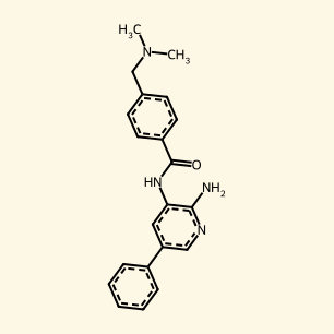 CN(C)Cc1ccc(C(=O)Nc2cc(-c3ccccc3)cnc2N)cc1